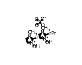 CCCc1n(C)cc[n+]1O.CCCc1n(C)cc[n+]1O.O=S(=O)([O-])[O-]